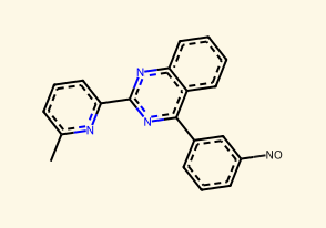 Cc1cccc(-c2nc(-c3cccc(N=O)c3)c3ccccc3n2)n1